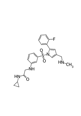 CNCc1cc(-c2ccccc2F)n(S(=O)(=O)c2cccc(NCC(=O)NC3CC3)c2)c1